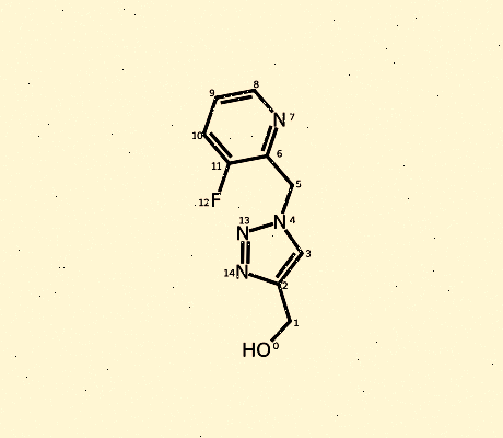 OCc1cn(Cc2ncccc2F)nn1